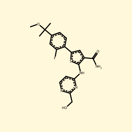 COC(C)(C)c1ccc(-c2cc(C(N)=O)c(Nc3ccnc(CO)n3)s2)c(F)c1